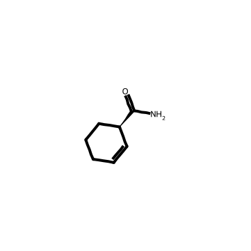 NC(=O)[C@H]1C=CCCC1